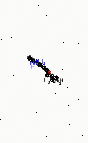 CC1(C)c2cc(C#N)ccc2-c2ccc(-c3cccc4c3oc3ccc(-c5ccc(-c6ccc(C(N)NC7C=CC(c8ccccc8)=CN7)cc6)cc5)cc34)cc21